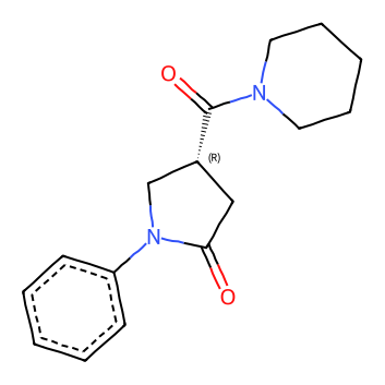 O=C([C@@H]1CC(=O)N(c2ccccc2)C1)N1CCCCC1